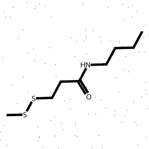 CCCCNC(=O)CCSSC